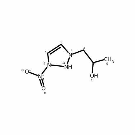 CC(O)CN1C=CN([N+](=O)[O-])N1